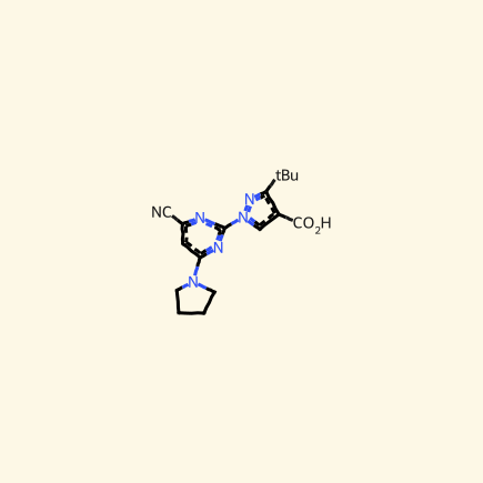 CC(C)(C)c1nn(-c2nc(C#N)cc(N3CCCC3)n2)cc1C(=O)O